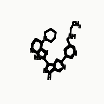 CCNCc1cncc(-c2cc3c(-c4nc5c(N6CCCCC6)ccnc5[nH]4)n[nH]c3cn2)c1